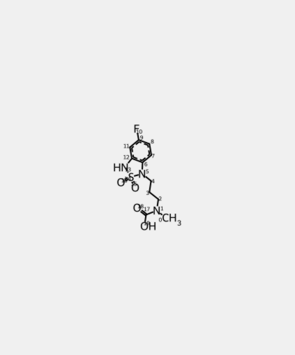 CN(CCCN1c2ccc(F)cc2NS1(=O)=O)C(=O)O